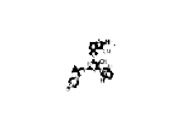 N#Cc1c(N2C[C@H]3CC[C@@H](C2)N3)nc(OCC2(CN3CC[S+]([O-])CC3)CC2)nc1N1CC2(CCc3sc(N)c(C#N)c32)C1